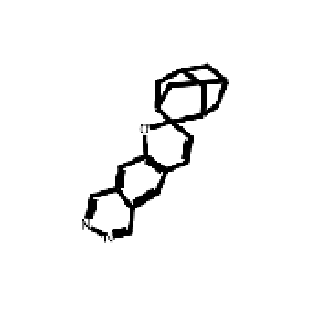 C1=CC2(Oc3cc4cnncc4cc31)C1CC3CC(C1)CC2C3